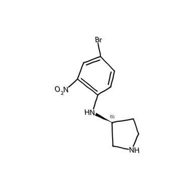 O=[N+]([O-])c1cc(Br)ccc1N[C@H]1CCNC1